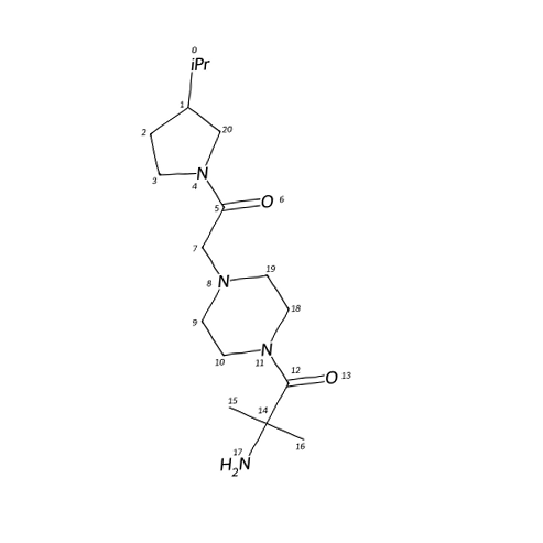 CC(C)C1CCN(C(=O)CN2CCN(C(=O)C(C)(C)N)CC2)C1